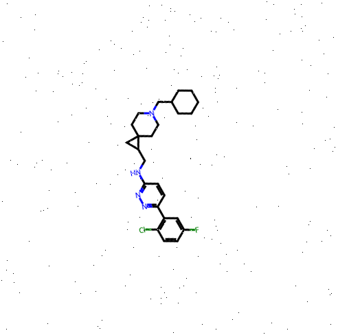 Fc1ccc(Cl)c(-c2ccc(NCC3CC34CCN(CC3CCCCC3)CC4)nn2)c1